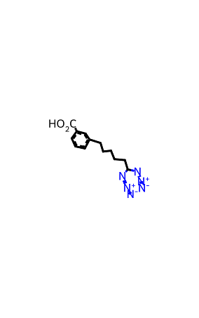 [N-]=[N+]=NC(CCCCCc1cccc(C(=O)O)c1)N=[N+]=[N-]